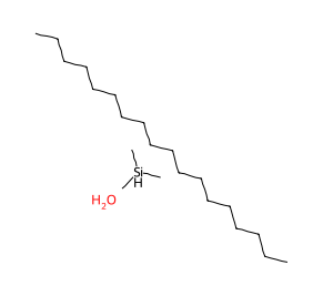 CCCCCCCCCCCCCCCCCC.C[SiH](C)C.O